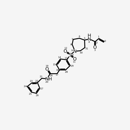 C=CC(=O)NC1CCCN(S(=O)(=O)c2ccc(CC(=O)NCc3ccccc3)cc2)CC1